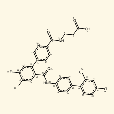 O=C(O)CCNC(=O)c1ccc(-c2cc(F)c(F)cc2C(=O)Nc2ccc(-c3ccc(Cl)cc3Cl)cc2)cn1